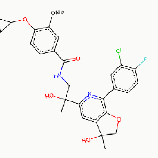 COc1cc(C(=O)NCC(C)(O)c2cc3c(c(-c4ccc(F)c(Cl)c4)n2)OCC3(C)O)ccc1OC1CC1